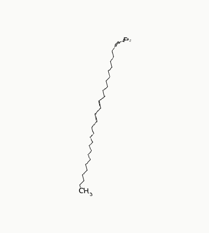 CCCCCCCCCCCCCCCCCCCCCCCCCCCCC#C[P]